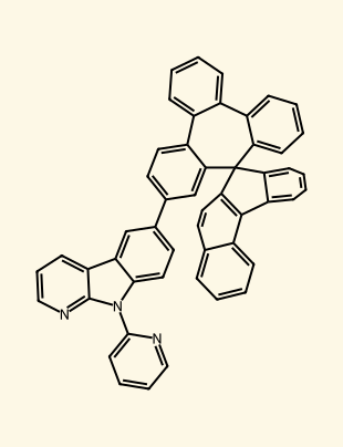 c1ccc(-n2c3ccc(-c4ccc5c(c4)C4(c6ccccc6-c6ccccc6-5)c5ccccc5-c5c4ccc4ccccc54)cc3c3cccnc32)nc1